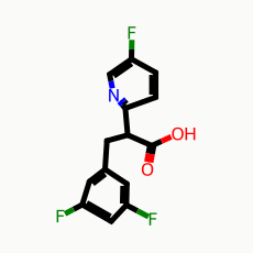 O=C(O)C(Cc1cc(F)cc(F)c1)c1ccc(F)cn1